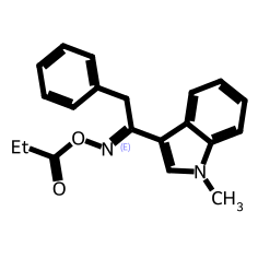 CCC(=O)O/N=C(\Cc1ccccc1)c1cn(C)c2ccccc12